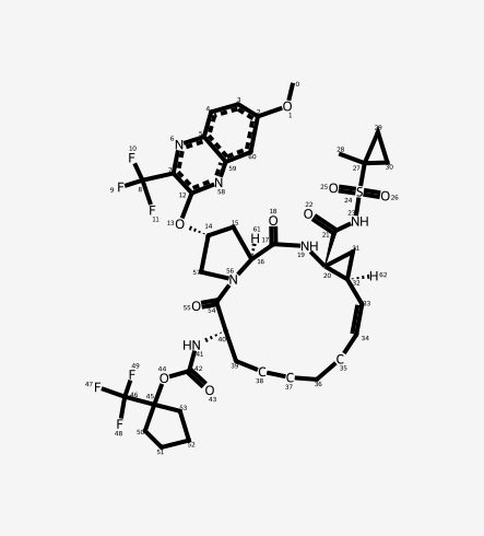 COc1ccc2nc(C(F)(F)F)c(O[C@@H]3C[C@H]4C(=O)N[C@]5(C(=O)NS(=O)(=O)C6(C)CC6)C[C@H]5/C=C\CCCCC[C@H](NC(=O)OC5(C(F)(F)F)CCCC5)C(=O)N4C3)nc2c1